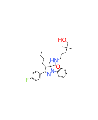 CCCCC1C(c2ccc(F)cc2)=NN(c2ccccc2)C1(C)C(=O)NCCCC(C)(C)CO